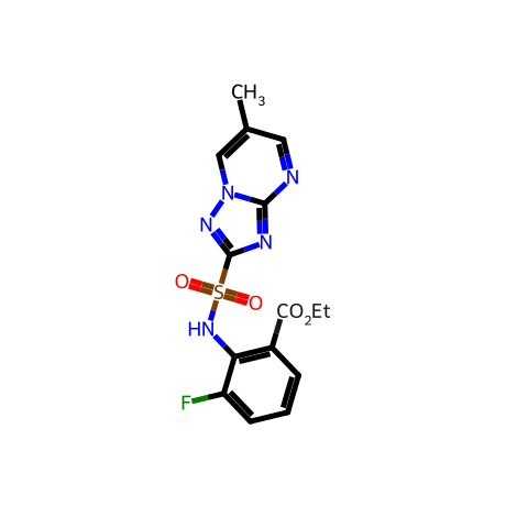 CCOC(=O)c1cccc(F)c1NS(=O)(=O)c1nc2ncc(C)cn2n1